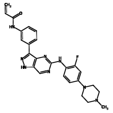 C=CC(=O)Nc1cccc(-c2n[nH]c3cnc(Nc4ccc(N5CCN(C)CC5)cc4F)nc23)c1